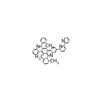 Cc1c2c(C3C=CC=CC3C)nc3cc(-c4cccc(-c5ccccn5)n4)ccc3c2c(C)c2c(-c3ccccc3)nc3ccccc3c12